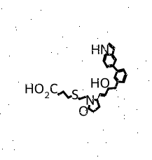 O=C(O)CCCSCCN1C(=O)CC[C@@H]1/C=C/[C@@H](O)Cc1cccc(-c2ccc3[nH]ccc3c2)c1